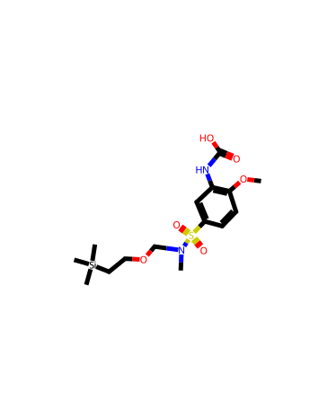 COc1ccc(S(=O)(=O)N(C)COCC[Si](C)(C)C)cc1NC(=O)O